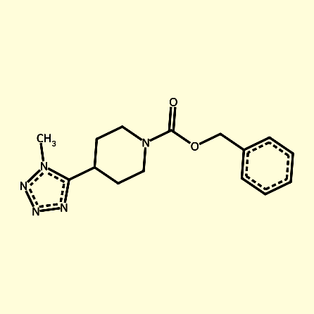 Cn1nnnc1C1CCN(C(=O)OCc2ccccc2)CC1